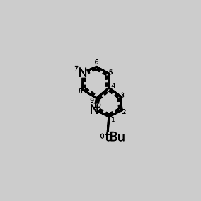 CC(C)(C)c1ccc2ccncc2n1